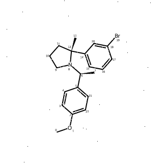 COc1ccc([C@H](C)N2CCC[C@]2(C)c2cccc(Br)c2)cc1